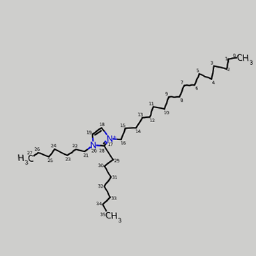 CCCCCCCCCCCCCCCCC[n+]1ccn(CCCCCCC)c1CCCCCCC